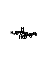 COc1ccc(CC(=O)Nc2ccc(C(=O)N(CC(=O)O)Cc3ccc(OC(=O)c4ccc(OC5CCCC5)cc4)cc3)cc2)cc1